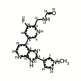 Cn1cc(-c2nc3c(-c4cnc(CNC=O)c(F)c4)ccnc3[nH]2)cn1